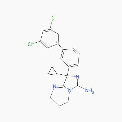 NC1=NC(c2cccc(-c3cc(Cl)cc(Cl)c3)c2)(C2CC2)C2=NCCCN12